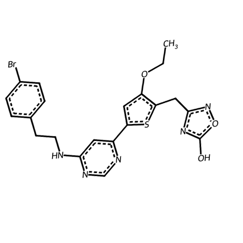 CCOc1cc(-c2cc(NCCc3ccc(Br)cc3)ncn2)sc1Cc1noc(O)n1